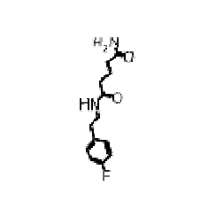 NC(=O)CCCC(=O)NCCc1ccc(F)cc1